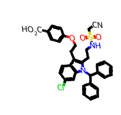 N#CCS(=O)(=O)NCCc1c(CCOc2ccc(C(=O)O)cc2)c2ccc(Cl)cc2n1C(c1ccccc1)c1ccccc1